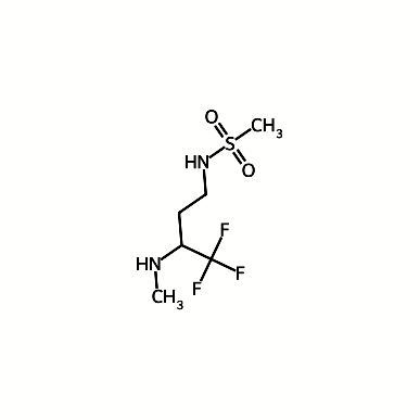 CNC(CCNS(C)(=O)=O)C(F)(F)F